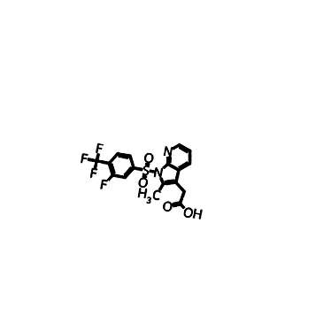 Cc1c(CC(=O)O)c2cccnc2n1S(=O)(=O)c1ccc(C(F)(F)F)c(F)c1